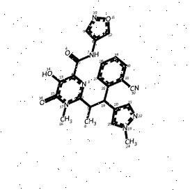 CC(c1nc(C(=O)Nc2cnoc2)c(O)c(=O)n1C)C(c1cnn(C)c1)c1ccccc1C#N